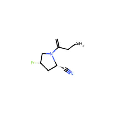 C=C(C[SiH3])N1C[C@@H](F)C[C@H]1C#N